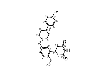 [O]Cc1ccc(CN2CCC(c3ccc(F)cc3)CC2)cc1C1CC(=O)NC(=O)C1